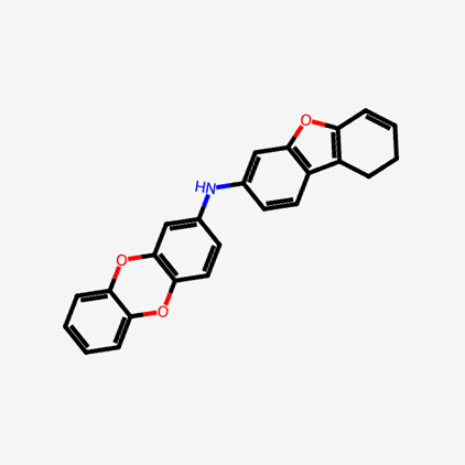 C1=Cc2oc3cc(Nc4ccc5c(c4)Oc4ccccc4O5)ccc3c2CC1